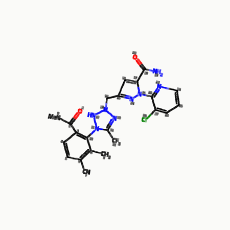 CNC(=O)c1ccc(C#N)c(C)c1N1NN(Cc2cc(C(N)=O)n(-c3ncccc3Cl)n2)N=C1C(F)(F)F